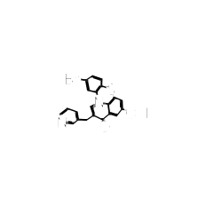 O=c1c(Cc2cccnc2)cn2c3c(cc(O)cc13)Sc1ccc(Br)cc1-2